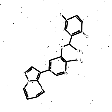 CC(Oc1cc(-c2cnn3ccccc23)cnc1N)c1cc(F)ccc1Cl